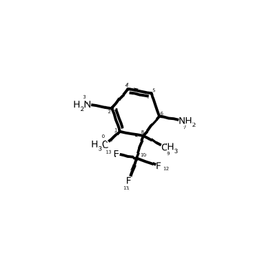 CC1=C(N)C=CC(N)C1(C)C(F)(F)F